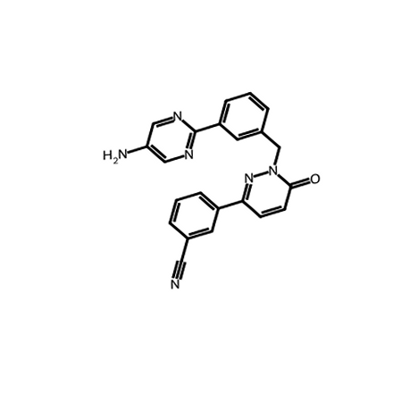 N#Cc1cccc(-c2ccc(=O)n(Cc3cccc(-c4ncc(N)cn4)c3)n2)c1